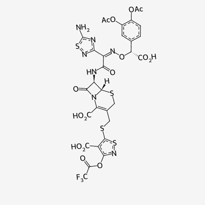 CC(=O)Oc1ccc([C@@H](O/N=C(\C(=O)N[C@@H]2C(=O)N3C(C(=O)O)=C(CSc4snc(OC(=O)C(F)(F)F)c4C(=O)O)CS[C@@H]23)c2nsc(N)n2)C(=O)O)cc1OC(C)=O